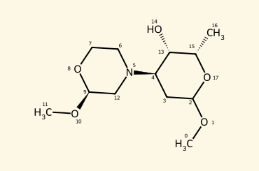 COC1C[C@@H](N2CCO[C@H](OC)C2)[C@H](O)[C@H](C)O1